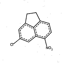 O=[N+]([O-])c1ccc2c3c(cc(Cl)cc13)CC2